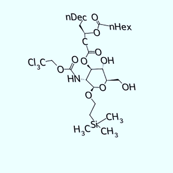 CCCCCCCCCCC[C@H](CC(=O)O[C@H]1[C@H](O)[C@@H](CO)O[C@@H](OCC[Si](C)(C)C)[C@@H]1NC(=O)OCC(Cl)(Cl)Cl)OC(=O)CCCCCC